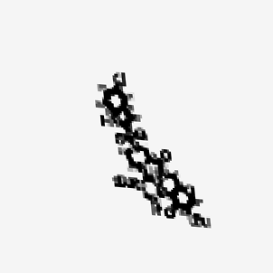 C[SiH](C)Oc1c(CNC(=O)C2CN(S(=O)(=O)c3cc4cc(Cl)ccc4[nH]3)CCN2C(=O)OC(C)(C)C)occ(C(C)(C)C)c1=O